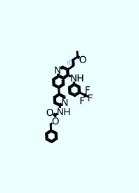 CC(=O)/C=C/c1cnc2ccc(-c3ccc(NC(=O)OCc4ccccc4)nc3)cc2c1Nc1cccc(C(F)(F)F)c1